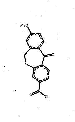 COc1ccc2c(c1)CSc1cc(C(=O)Cl)ccc1C2=O